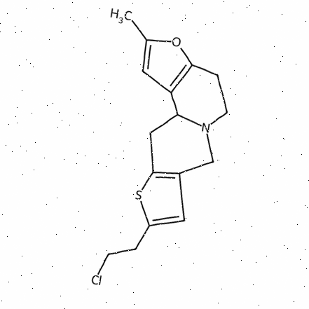 Cc1cc2c(o1)CCN1Cc3cc(CCCl)sc3CC21